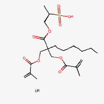 C=C(C)C(=O)OCC(CCCCCC)(COC(=O)C(=C)C)C(=O)OCC(C)S(=O)(=O)O.[LiH]